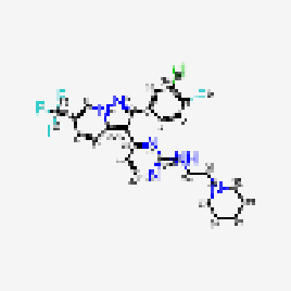 Fc1ccc(-c2nn3cc(C(F)(F)F)ccc3c2-c2ccnc(NCCN3CCCCC3)n2)cc1Cl